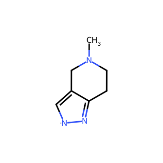 CN1CCC2=N[N]C=C2C1